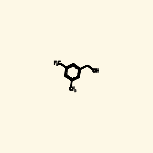 OCc1cc(C(F)(F)F)cc(C(F)(F)F)c1